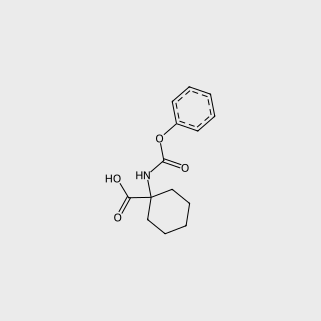 O=C(NC1(C(=O)O)CCCCC1)Oc1ccccc1